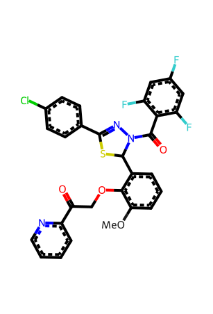 COc1cccc(C2SC(c3ccc(Cl)cc3)=NN2C(=O)c2c(F)cc(F)cc2F)c1OCC(=O)c1ccccn1